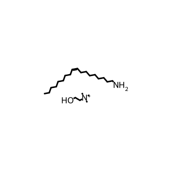 CCCCCCCC/C=C\CCCCCCCCN.C[N+](C)(C)CCO